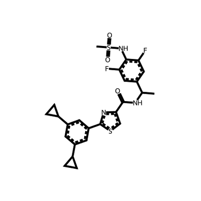 CC(NC(=O)c1csc(-c2cc(C3CC3)cc(C3CC3)c2)n1)c1cc(F)c(NS(C)(=O)=O)c(F)c1